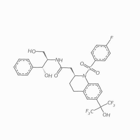 O=C(C[C@@H]1CCc2cc(C(O)(C(F)(F)F)C(F)(F)F)ccc2N1S(=O)(=O)c1ccc(F)cc1)N[C@H](CO)[C@H](O)c1ccccc1